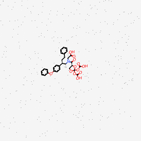 C[C@H]([C@H](CCc1ccccc1)c1ccc(Oc2ccccc2)cc1)N(CC(=O)O)C(=O)[C@@H]1COC(OC(=O)O)(OC(=O)O)O1